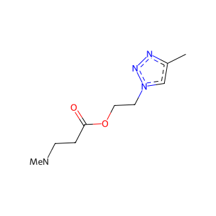 CNCCC(=O)OCCn1cc(C)nn1